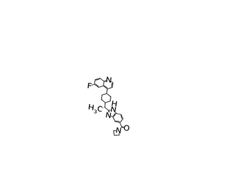 C[C@@H](c1nc2cc(C(=O)N3CCC3)ccc2[nH]1)C1CCC(c2ccnc3ccc(F)cc23)CC1